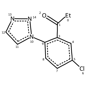 [CH2]CC(=O)c1cc(Cl)ccc1-n1ccnn1